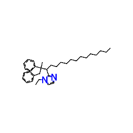 CCCCCCCCCCCCCC(c1nccn1CC)C(C)(Cc1ccccc1)c1ccccc1